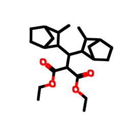 CCOC(=O)C(C(=O)OCC)C(C1C2CCC(C2)C1C)C1C2CCC(C2)C1C